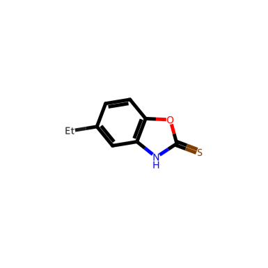 CCc1ccc2oc(=S)[nH]c2c1